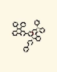 c1ccc(-c2ccc(N(c3cccc(-c4ccc5c(c4)c(-c4ccccc4)c(-c4ccccc4)c4ccccc45)c3)c3ccccc3-c3cccc4c3c3ccccc3n4-c3ccccc3)cc2)cc1